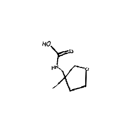 CC1(NC(=O)O)CCOC1